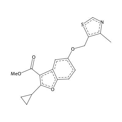 COC(=O)c1c(C2CC2)oc2ccc(OCc3scnc3C)cc12